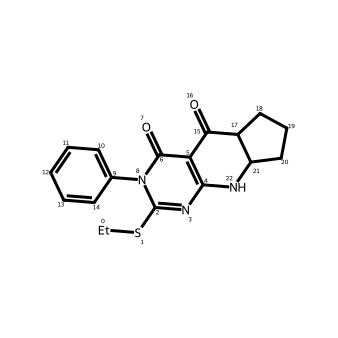 CCSc1nc2c(c(=O)n1-c1ccccc1)C(=O)C1CCCC1N2